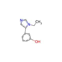 CCn1cncc1-c1cccc(O)c1